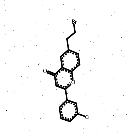 O=c1cc(-c2cccc(Cl)c2)oc2ccc(CCBr)cc12